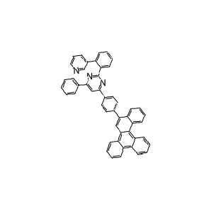 c1ccc(-c2cc(-c3ccc(-c4cc5c6ccccc6c6ccccc6c5c5ccccc45)cc3)nc(-c3ccccc3-c3cccnc3)n2)cc1